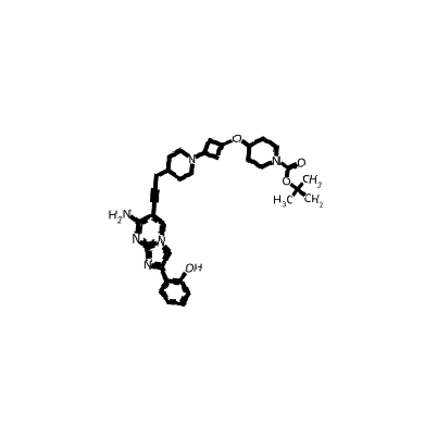 CC(C)(C)OC(=O)N1CCC(OC2CC(N3CCC(CC#Cc4cn5cc(-c6ccccc6O)nc5nc4N)CC3)C2)CC1